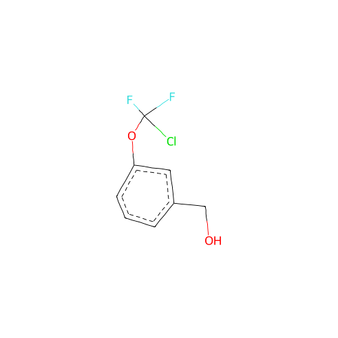 OCc1cccc(OC(F)(F)Cl)c1